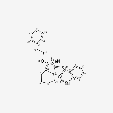 CNC(=S)C1(c2cnc3ccccc3c2)CCCC/C1=N\OCCc1ccccc1